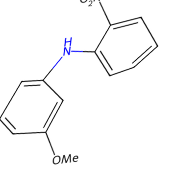 COc1cccc(Nc2ccccc2[N+](=O)[O-])c1